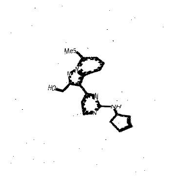 CSc1cccc2c(-c3ccnc(NC4CCCC4)n3)c(CO)nn12